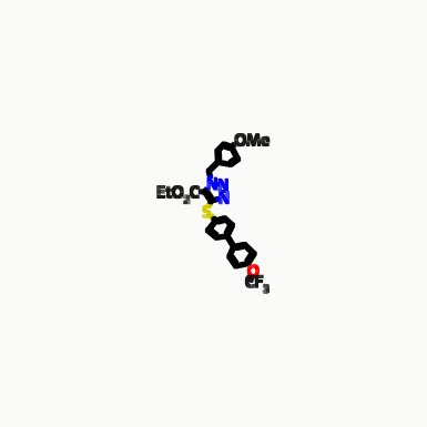 CCOC(=O)c1c(Sc2ccc(-c3ccc(OC(F)(F)F)cc3)cc2)nnn1Cc1ccc(OC)cc1